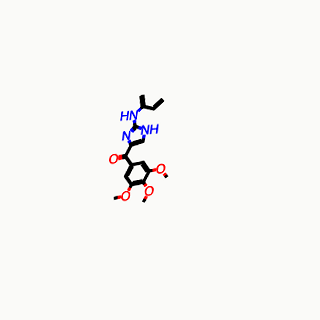 C=CC(=C)Nc1nc(C(=O)c2cc(OC)c(OC)c(OC)c2)c[nH]1